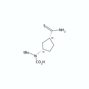 CC(C)(C)N(C(=O)O)[C@H]1CC[C@@H](C(N)=S)C1